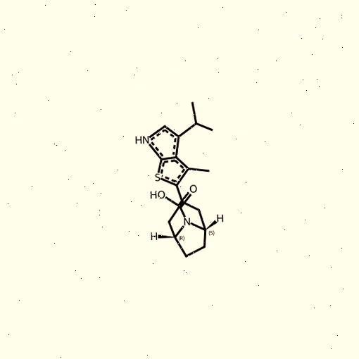 Cc1c(C2C[C@H]3CC[C@@H](C2)N3C(=O)O)sc2[nH]cc(C(C)C)c12